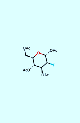 CC(=O)OC[C@H]1O[C@H](OC(C)=O)[C@@H](F)[C@@H](OC(C)=O)[C@@H]1OC(C)=O